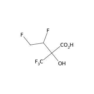 O=C(O)C(O)(C(F)CF)C(F)(F)F